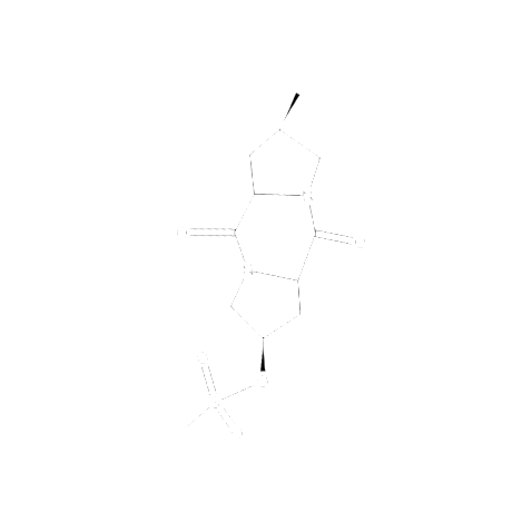 C[C@@H]1CC2C(=O)N3C[C@H](OS(C)(=O)=O)CC3C(=O)N2C1